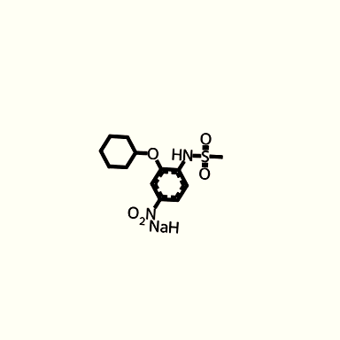 CS(=O)(=O)Nc1ccc([N+](=O)[O-])cc1OC1CCCCC1.[NaH]